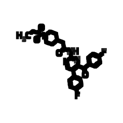 CCS(=O)(=O)N1CCC(CC(=O)Nc2ncc(-c3ccc(F)cc3)c(C(=O)c3ccc(F)cc3)n2)CC1